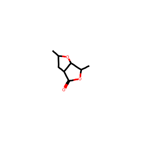 CC1CC2C(=O)OC(C)C2O1